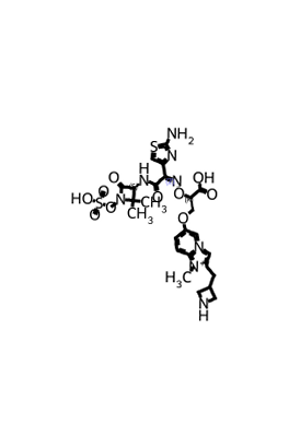 C[n+]1c(CC2CNC2)cn2cc(OC[C@@H](O/N=C(\C(=O)N[C@@H]3C(=O)N(OS(=O)(=O)O)C3(C)C)c3csc(N)n3)C(=O)O)ccc21